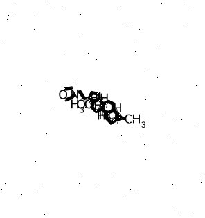 CC1C2[C@@H]3CC[C@@H]4[C@H](CC[C@]5(C)[C@@H](C(=O)CN6CCOCC6)CC[C@@H]45)[C@H]3CC[C@]12O